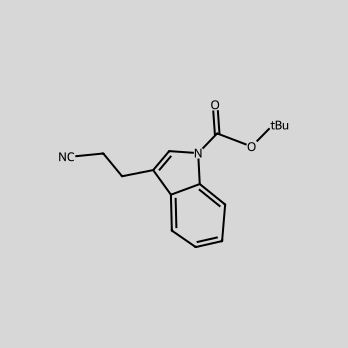 CC(C)(C)OC(=O)n1cc(CCC#N)c2ccccc21